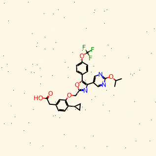 CC(C)Oc1ncc(-c2nc(COc3cc(CC(=O)O)ccc3C3CC3)oc2-c2ccc(OC(F)(F)F)cc2)cn1